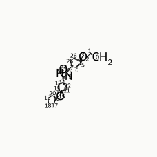 C=CCOc1ccc(-c2nc(-c3ccc(OC4CCCC4)cc3)no2)cc1